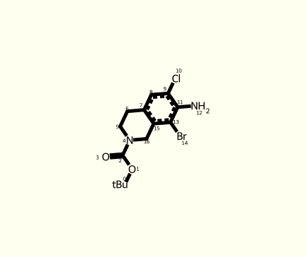 CC(C)(C)OC(=O)N1CCc2cc(Cl)c(N)c(Br)c2C1